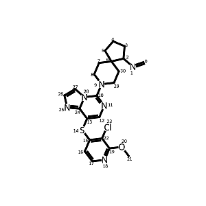 C=NC1CCCC12CCN(c1ncc(Sc3ccnc(OC)c3Cl)c3nccn13)CC2